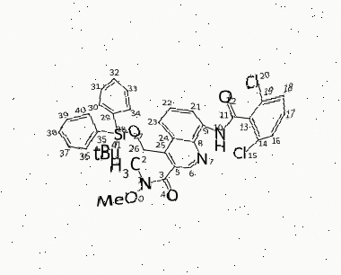 CON(C)C(=O)c1cnc2c(NC(=O)c3c(Cl)cccc3Cl)cccc2c1CO[Si](c1ccccc1)(c1ccccc1)C(C)(C)C